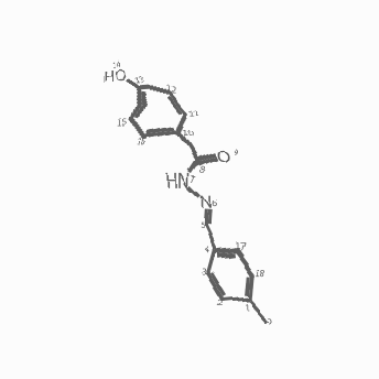 Cc1ccc(C=NNC(=O)c2ccc(O)cc2)cc1